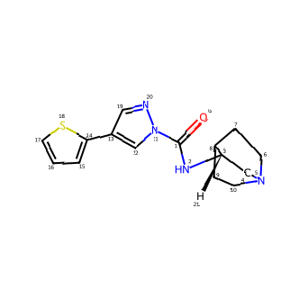 O=C(N[C@H]1CN2CCC1CC2)n1cc(-c2cccs2)cn1